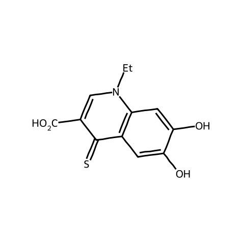 CCn1cc(C(=O)O)c(=S)c2cc(O)c(O)cc21